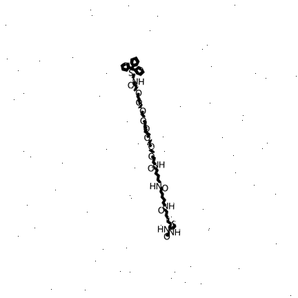 O=C(CCCCCNC(=O)CCCCC1SCC2NC(=O)NC21)NCCCCCC(=O)NCCOCCOCCOCCOCCOCCOCCOCCOCCC(=O)NCCSC(c1ccccc1)(c1ccccc1)c1ccccc1